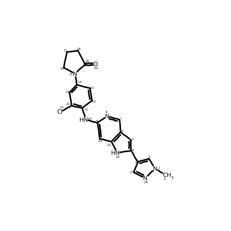 Cn1cc(-c2cc3cnc(Nc4ccc(N5CCCC5=O)cc4Cl)cc3[nH]2)cn1